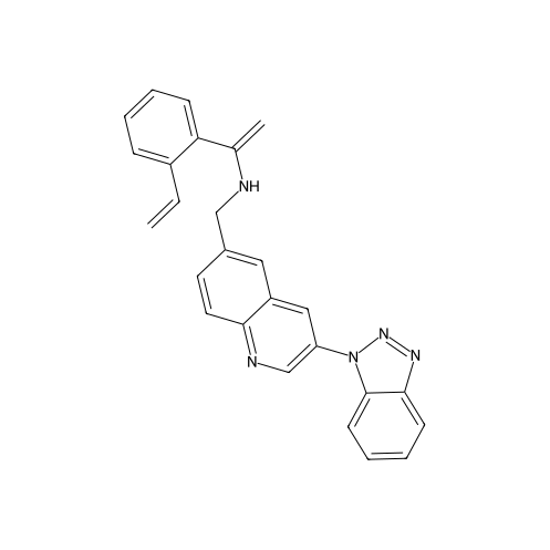 C=Cc1ccccc1C(=C)NCc1ccc2ncc(-n3nnc4ccccc43)cc2c1